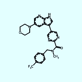 CN(Cc1ccc(C(F)(F)F)cc1)C(=O)c1ncc(-c2c[nH]c3ncc(N4CCOCC4)cc23)cn1